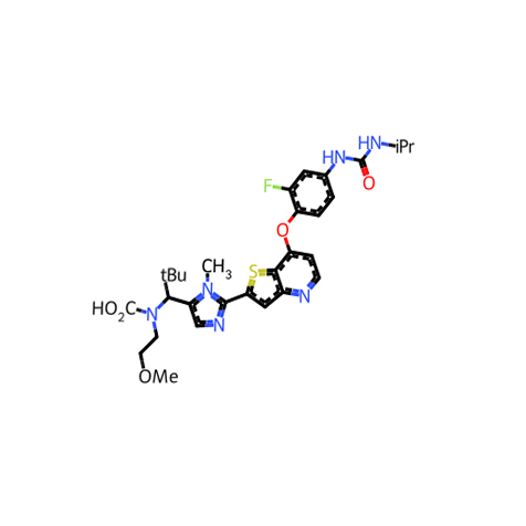 COCCN(C(=O)O)C(c1cnc(-c2cc3nccc(Oc4ccc(NC(=O)NC(C)C)cc4F)c3s2)n1C)C(C)(C)C